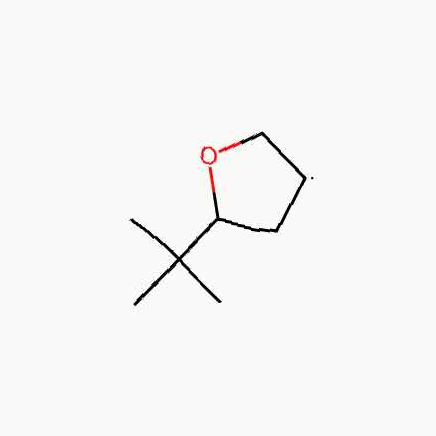 CC(C)(C)C1C[CH]CO1